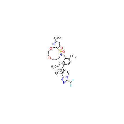 COc1ccc2c(n1)OCCOCCCN(Cc1cc([C@H](c3ccn4c(C(F)F)nnc4c3C)C(C)(C)C(=O)O)ccc1C)S2(=O)=O